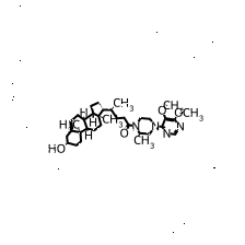 COc1ncnc(N2CCN(C(=O)CC[C@@H](C)[C@H]3CC[C@H]4[C@@H]5CC=C6C[C@@H](O)CC[C@]6(C)[C@H]5CC[C@]34C)[C@@H](C)C2)c1OC